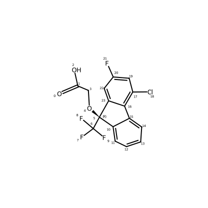 O=C(O)CO[C@]1(C(F)(F)F)c2ccccc2-c2c(Cl)cc(F)cc21